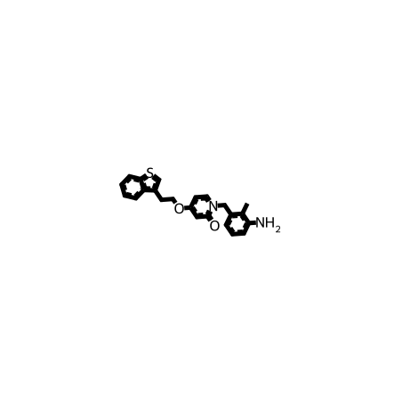 Cc1c(N)cccc1Cn1ccc(OCCc2csc3ccccc23)cc1=O